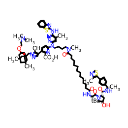 Cc1cc(N(CCCCN(C)C(=O)CCCCCCCCCCCCC(=O)N[C@H](C(=O)N2C[C@H](O)C[C@H]2C(=O)N[C@@H](C)c2ccc(-c3scnc3C)cc2)C(C)(C)C)c2ccc(-c3cnn(CC45CC6(C)CC(C)(C4)CC(OCCN(C)C)(C6)C5)c3C)c(C(=O)O)n2)nnc1Nc1nc2ccccc2s1